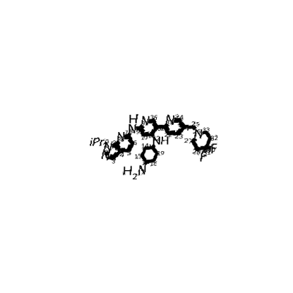 CC(C)n1ncc2ccc(Nc3cc(NC4CCC(N)CC4)c(-c4ccc(CN5CCC(F)(F)CC5)cn4)cn3)nc21